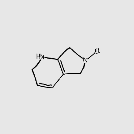 CCN1CC2=C(C1)NCC=C2